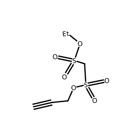 C#CCOS(=O)(=O)CS(=O)(=O)OCC